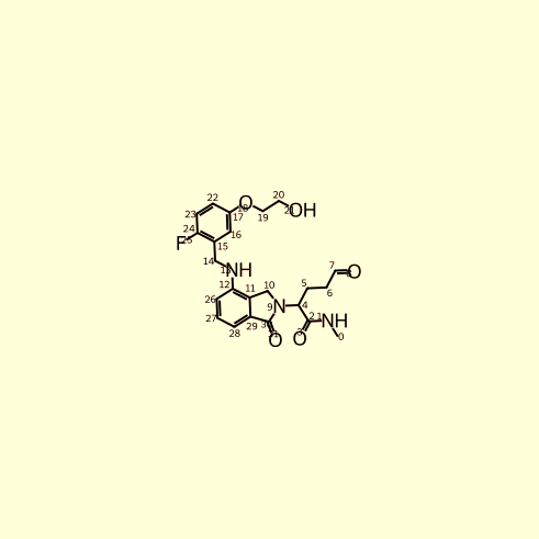 CNC(=O)C(CCC=O)N1Cc2c(NCc3cc(OCCO)ccc3F)cccc2C1=O